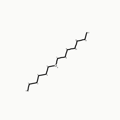 [CH2]CCCCCOCCCCCCC